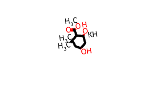 COC(=O)C1C(O)CC(O)CC1(C)C.[KH]